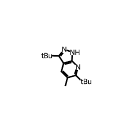 Cc1cc2c(C(C)(C)C)n[nH]c2nc1C(C)(C)C